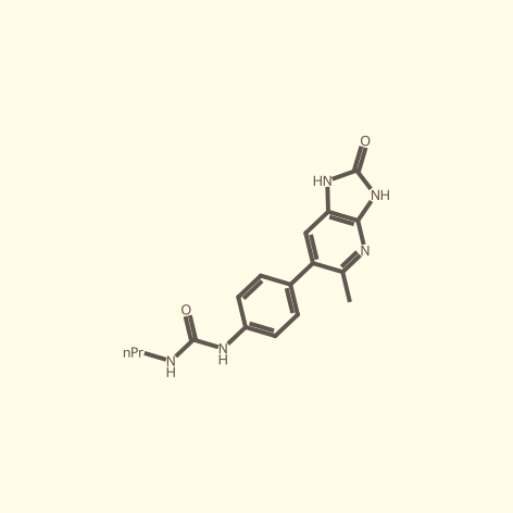 CCCNC(=O)Nc1ccc(-c2cc3[nH]c(=O)[nH]c3nc2C)cc1